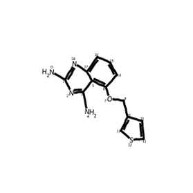 Nc1nc(N)c2c(OCc3ccsc3)cccc2n1